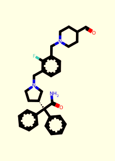 NC(=O)C(c1ccccc1)(c1ccccc1)[C@@H]1CCN(Cc2cccc(CN3CCC(C=O)CC3)c2F)C1